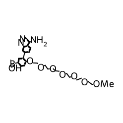 COCCOCCOCCOCCOCCOCCOc1ccc(B(C)O)cc1-c1ccc2c(N)cnnc2c1